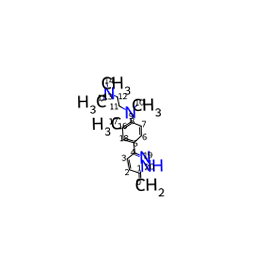 C=C1C=CC(c2ccc(N(C)CCN(C)C)c(C)c2)=NN1